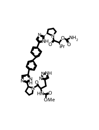 COC(=O)NC(Cc1c[nH]nn1)C(=O)N1CCCC1c1ncc(-c2ccc(-c3ccc(-c4cnc([C@@H]5CCCN5C(=O)[C@@H](OC(N)=O)C(C)C)[nH]4)cc3)cc2)[nH]1